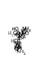 C[C@]1(F)[C@@H](CO)S[C@@H](n2cnc3c(=O)[nH]c(N)nc32)[C@@H]1OP(=O)(S)OC[C@H]1O[C@@H](n2nnc3c(N)ncnc32)C(F)(F)[C@@H]1O